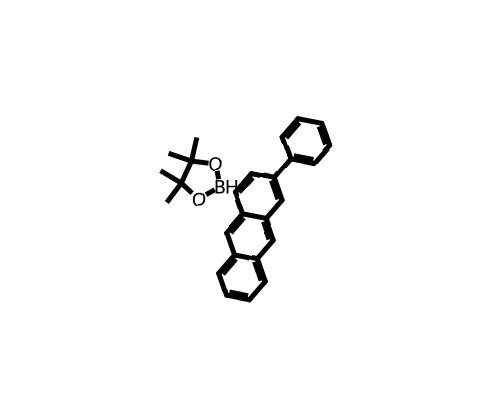 CC1(C)OBOC1(C)C.c1ccc(-c2ccc3cc4ccccc4cc3c2)cc1